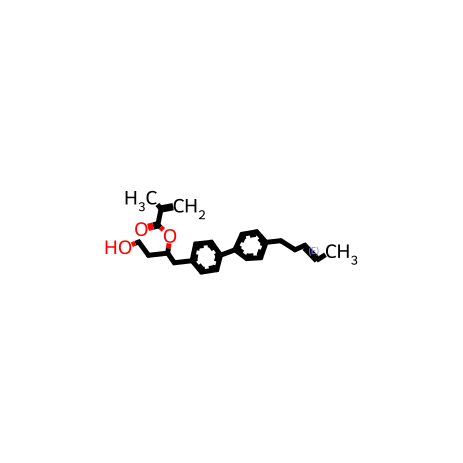 C=C(C)C(=O)OC(CCO)Cc1ccc(-c2ccc(CC/C=C/C)cc2)cc1